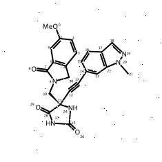 COc1ccc2c(c1)C(=O)N(C[C@@]1(C#Cc3ccc4cnn(C)c4c3)NC(=O)NC1=O)C2